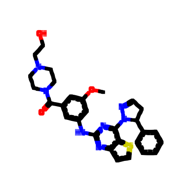 COc1cc(Nc2nc(N3N=CCC3c3ccccc3)c3sccc3n2)cc(C(=O)N2CCN(CCO)CC2)c1